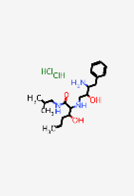 CCCC(O)C(NCC(O)C(N)Cc1ccccc1)C(=O)NCC(C)C.Cl.Cl